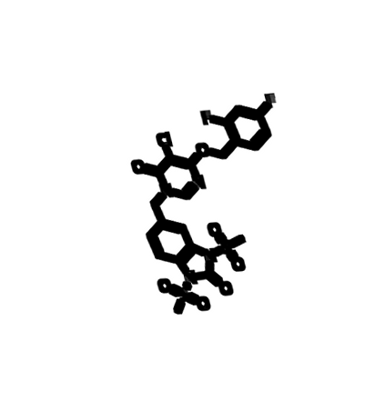 CS(=O)(=O)n1c(=O)n(S(C)(=O)=O)c2cc(Cn3cnc(OCc4ccc(F)cc4F)c(Cl)c3=O)ccc21